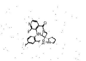 O=C(c1ccnc(F)c1Nc1ccc(I)cc1F)N1CC(O)([C@@H]2CCCN2)C1